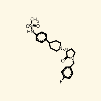 CS(=O)(=O)Nc1ccc(C2CCN([C@@H]3CCN(Cc4ccc(F)cc4)C3=O)CC2)cc1